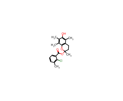 Cc1cccc(C(=O)OC2(C)CCc3c(C)c(O)c(C)c(C)c3O2)c1Cl